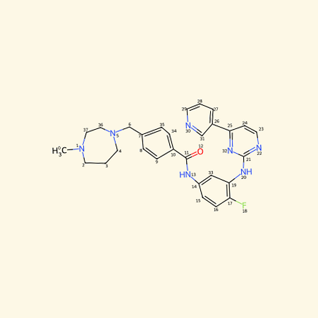 CN1CCCN(Cc2ccc(C(=O)Nc3ccc(F)c(Nc4nccc(-c5cccnc5)n4)c3)cc2)CC1